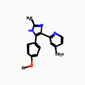 CCOc1ccc(-c2[nH]c(C)nc2-c2cc(C(=O)O)ccn2)cc1